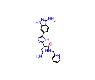 NCC[C@H](C(=O)NCc1ccccn1)c1ncc(-c2ccc3c(N)n[nH]c3c2)[nH]1